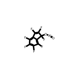 [O]=[Al][O]C1(F)C(F)=C(F)c2c(F)c(F)c(F)c(F)c21